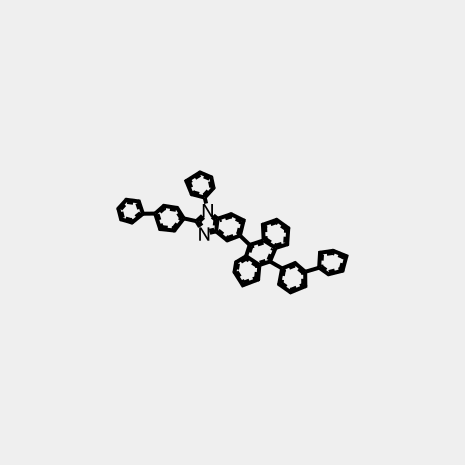 c1ccc(-c2ccc(-c3nc4cc(-c5c6ccccc6c(-c6cccc(-c7ccccc7)c6)c6ccccc56)ccc4n3-c3ccccc3)cc2)cc1